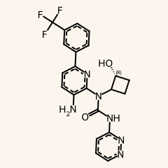 Nc1ccc(-c2cccc(C(F)(F)F)c2)nc1N(C(=O)Nc1cccnn1)C1CC[C@H]1O